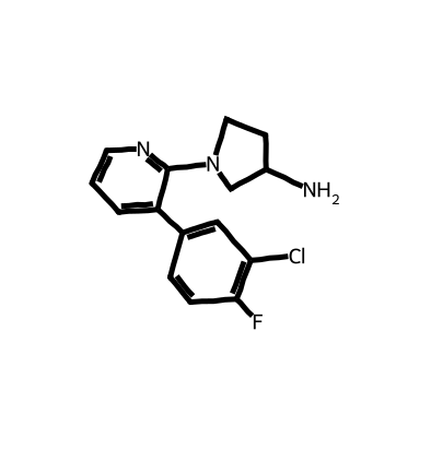 NC1CCN(c2ncccc2-c2ccc(F)c(Cl)c2)C1